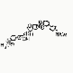 CNCc1ccc(-c2cccc(S(=O)(=O)N3CCC4(CC3)CC(NC[C@H](O)COc3cccc(S(C)(=O)=O)c3)CO4)c2)cc1